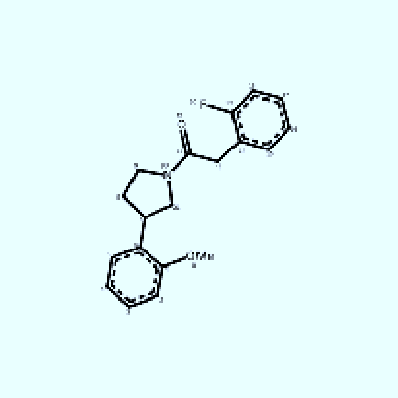 COc1ccccc1C1CCN(C(=O)Cc2ccccc2F)C1